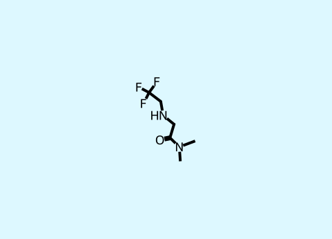 CN(C)C(=O)CNCC(F)(F)F